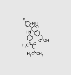 CN(C)CCC(=O)N(C)c1ccc(NC(=C2C(=O)Nc3cc(F)ccc32)c2ccc(CC(=O)O)cc2)cc1